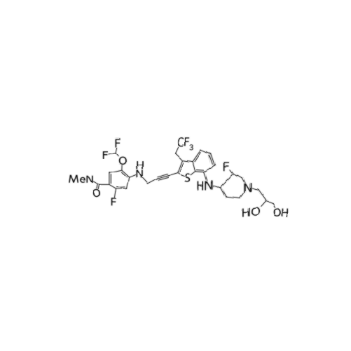 CNC(=O)c1cc(OC(F)F)c(NCC#Cc2sc3c(NC4CCN(CC(O)CO)CC4F)cccc3c2CC(F)(F)F)cc1F